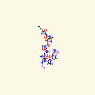 CCCCCC(=O)NCC(=O)NC(C(=O)NCC(=O)NCC(=O)NCC(=O)NC(CCN)C(=O)NC(C(=O)NC(CC(C)C)C(=O)NCC(N)=O)C(C)C)[C@@H](C)CC